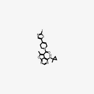 Cc1oc2ncnc(NC3(C)CC3)c2c1C(=O)N1CC=C(c2cnc(I)s2)CC1